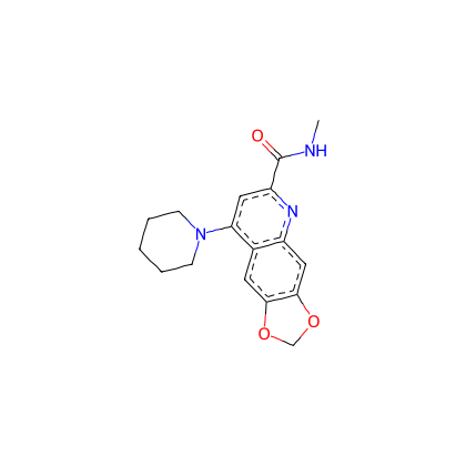 CNC(=O)c1cc(N2CCCCC2)c2cc3c(cc2n1)OCO3